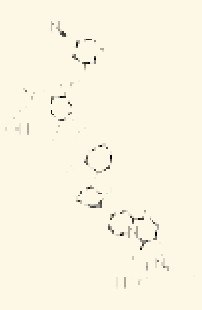 Cc1c(COc2cc(OCc3cncc(C#N)c3)c(CN(C)CCO)cc2Cl)cccc1-c1cccc(-c2ccn3c(=O)c(CN(C)CCO)cnc3c2)c1C